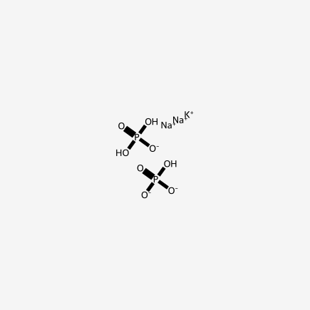 O=P([O-])(O)O.O=P([O-])([O-])O.[K+].[Na+].[Na+]